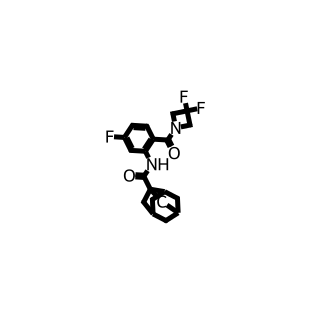 O=C(c1ccc(F)cc1NC(=O)C12CC3CC(CC1C3)C2)N1CC(F)(F)C1